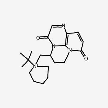 CC(C)(C)[N+]1(CC2CCn3c(=O)ccc4ncc(=O)n2c43)CC[CH]CC1